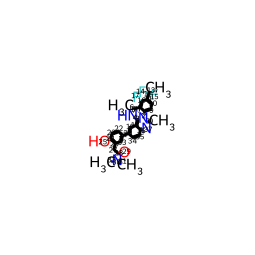 Cc1nc(N[C@H](C)c2cccc(C(C)(F)F)c2F)c2cc(-c3ccc(O)c(CC(=O)N(C)C)c3)ccc2n1